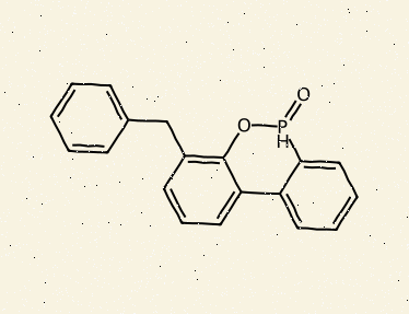 O=[PH]1Oc2c(Cc3ccccc3)cccc2-c2ccccc21